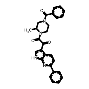 CC1CN(C(=O)c2ccccc2)CCN1C(=O)C(=O)c1c[nH]c2nc(-c3ccccc3)ccc12